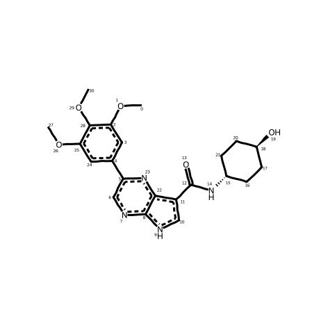 COc1cc(-c2cnc3[nH]cc(C(=O)N[C@H]4CC[C@H](O)CC4)c3n2)cc(OC)c1OC